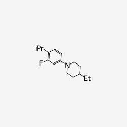 CCC1CCN(c2ccc(C(C)C)c(F)c2)CC1